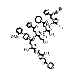 COc1ccccc1N1CCN(C(=O)C[n+]2csc(C)c2C)CC1.Cc1c(CCO)sc[n+]1CC(=O)c1cccs1.Cc1sc[n+](CC(=O)N2CCCCCC2)c1C.Cc1sc[n+](CC(=O)N2CCSCC2)c1C.Cc1sc[n+](CC(=O)c2cccs2)c1C.[Br-].[Br-].[Br-].[Br-].[Cl-]